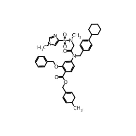 CC1C=CC(COC(=O)c2ccc(N(Cc3ccc(C4CCCCC4)cc3)C(=O)CN(C)S(=O)(=O)c3cn(C)cn3)cc2OCc2ccccc2)=CC1